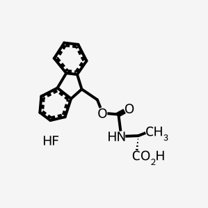 C[C@@H](NC(=O)OCC1c2ccccc2-c2ccccc21)C(=O)O.F